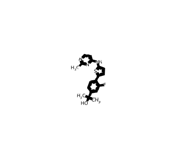 Cc1nccc(Nc2ccc(-c3ccc(C(C)(C)O)cc3F)s2)n1